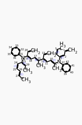 C=C/C=C(\C=C/C)N(/C(C)=C/C=C(C=C)/C(C)=C/C=C(\C=C)N(C(/C=C\C=C\C)=C/C)c1ccccc1)c1ccccc1